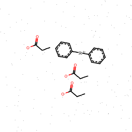 CCC(=O)[O-].CCC(=O)[O-].CCC(=O)[O-].c1cc[c]([Sb+3][c]2ccccc2)cc1